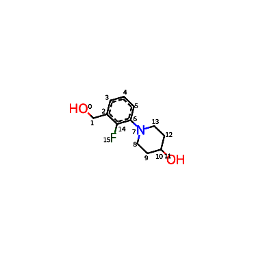 OCc1cccc(N2CCC(O)CC2)c1F